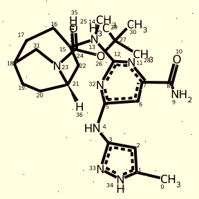 Cc1cc(Nc2cc(C(N)=O)nc(N(C)[C@@H]3CCC4CC[C@@H](C3)N(C(=O)OC(C)(C)C)C4)n2)n[nH]1